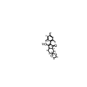 Cc1cc(C)c(C2=C(O)C3CCC4(CC3C2=O)OCCO4)c(C)c1